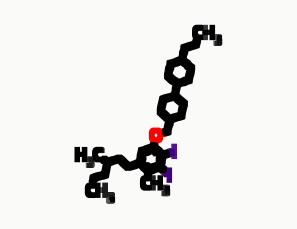 CCCC(C)CCc1cc(OCC2CCC(C3CCC(CCC)CC3)CC2)c(I)c(I)c1C